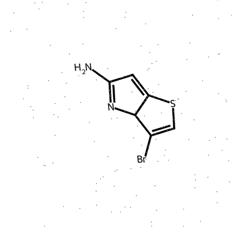 NC1=NC2C(Br)=CSC2=C1